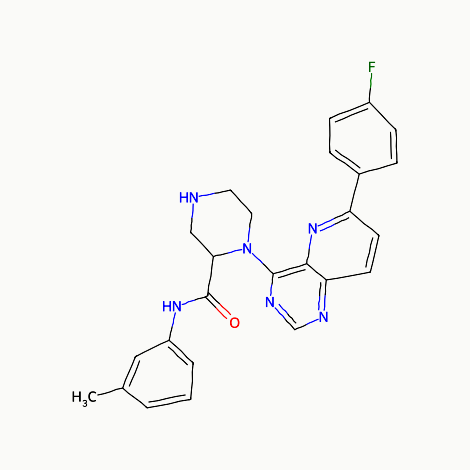 Cc1cccc(NC(=O)C2CNCCN2c2ncnc3ccc(-c4ccc(F)cc4)nc23)c1